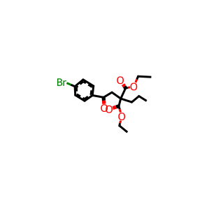 CCCC(CC(=O)c1ccc(Br)cc1)(C(=O)OCC)C(=O)OCC